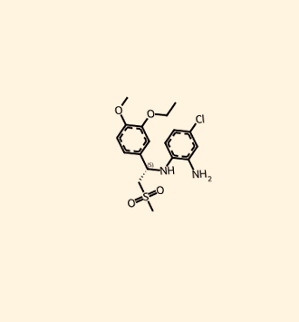 CCOc1cc([C@@H](CS(C)(=O)=O)Nc2ccc(Cl)cc2N)ccc1OC